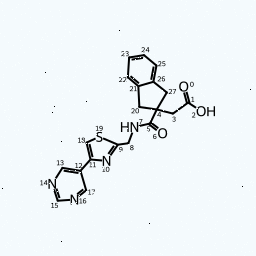 O=C(O)CC1(C(=O)NCc2nc(-c3cncnc3)cs2)Cc2ccccc2C1